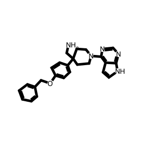 NCC1(c2ccc(OCc3ccccc3)cc2)CCN(c2ncnc3[nH]ccc23)CC1